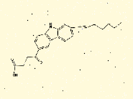 CCCCC/C=C/c1ccc2c(n1)[nH]c1ccc(C(=O)CCC(=O)O)cc12